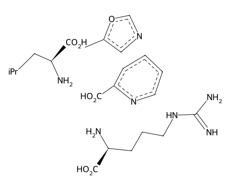 CC(C)C[C@H](N)C(=O)O.Cc1cnco1.N=C(N)NCCC[C@H](N)C(=O)O.O=C(O)c1ccccn1